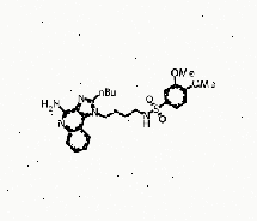 CCCCc1nc2c(N)nc3ccccc3c2n1CCCCNS(=O)(=O)c1ccc(OC)c(OC)c1